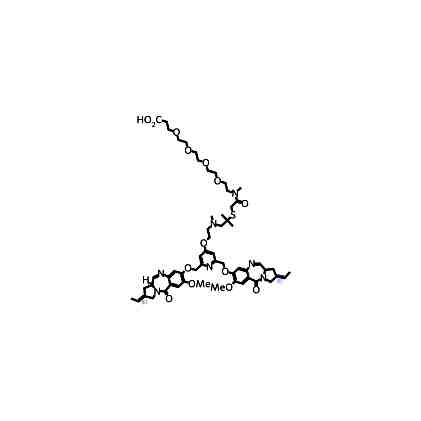 C/C=C1\CC2C=Nc3cc(OCc4cc(OCCN(C)CC(C)(C)SCC(=O)N(C)CCOCCOCCOCCOCCC(=O)O)cc(COc5cc6c(cc5OC)C(=O)N5C/C(=C/C)C[C@H]5C=N6)n4)c(OC)cc3C(=O)N2C1